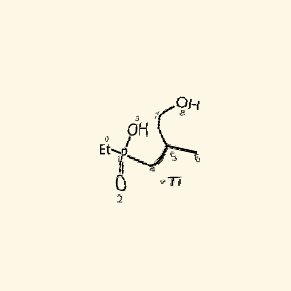 CCP(=O)(O)CC(C)CO.[Ti]